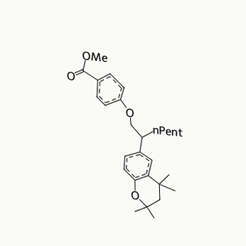 CCCCCC(COc1ccc(C(=O)OC)cc1)c1ccc2c(c1)C(C)(C)CC(C)(C)O2